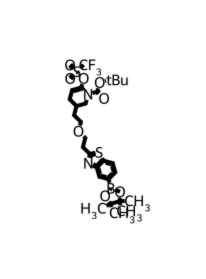 CC(C)(C)OC(=O)N1CC(CCOCCc2nc3cc(B4OC(C)(C)C(C)(C)O4)ccc3s2)CC=C1OS(=O)(=O)C(F)(F)F